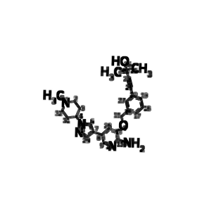 CN1CCC(n2cc(-c3cnc(N)c(OCc4cccc(C#CC(C)(C)O)c4)c3)cn2)CC1